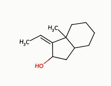 CC=C1C(O)CC2CCCCC12C